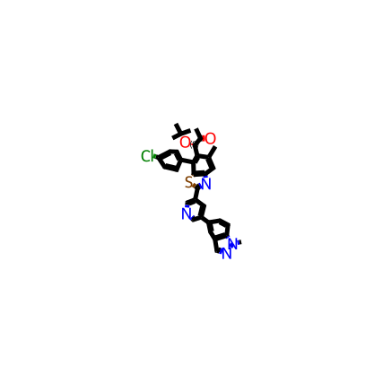 CC(=O)[C@@H](OC(C)(C)C)c1c(C)cc2nc(-c3cncc(-c4ccc5c(cnn5C)c4)c3)sc2c1-c1ccc(Cl)cc1